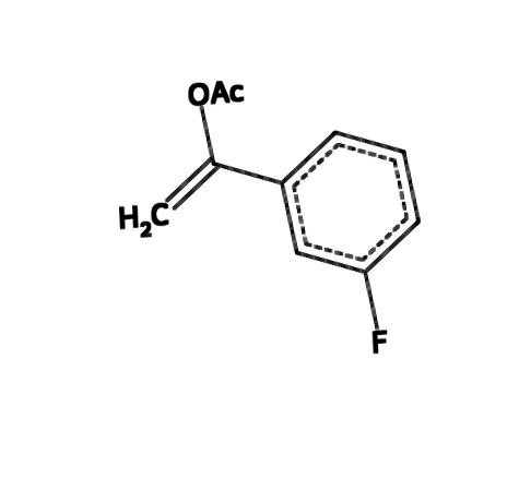 C=C(OC(C)=O)c1cccc(F)c1